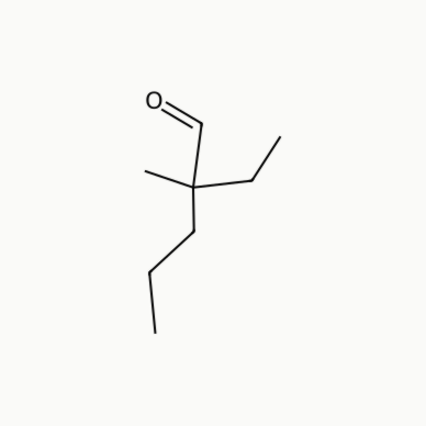 CCCC(C)(C=O)CC